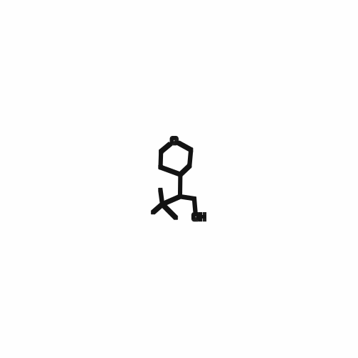 CC(C)(C)C(CO)C1CCOCC1